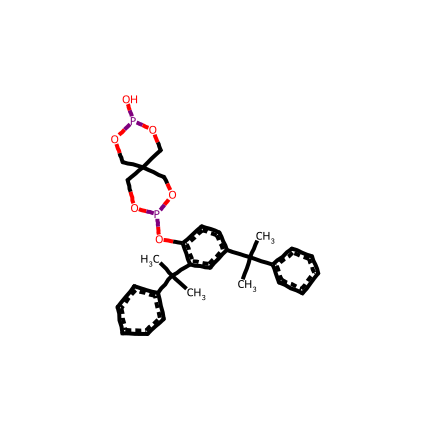 CC(C)(c1ccccc1)c1ccc(OP2OCC3(COP(O)OC3)CO2)c(C(C)(C)c2ccccc2)c1